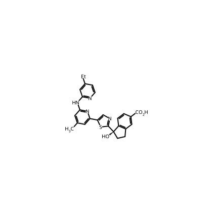 CCc1ccnc(Nc2cc(C)cc(-c3cnc([C@@]4(O)CCc5cc(C(=O)O)ccc54)s3)n2)c1